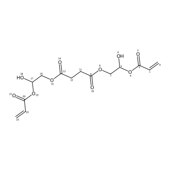 C=CC(=O)OC(O)COC(=O)CCC(=O)OCC(O)OC(=O)C=C